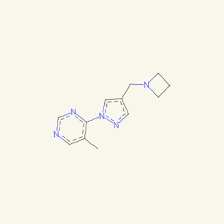 Cc1cncnc1-n1cc(CN2CCC2)cn1